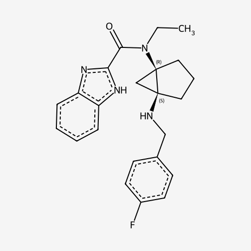 CCN(C(=O)c1nc2ccccc2[nH]1)[C@@]12CCC[C@]1(NCc1ccc(F)cc1)C2